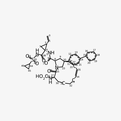 C=C[C@@H]1C[C@]1(NC(=O)C1CC2(c3ccc(-c4ccccc4)cc3)CN1C(=O)C(NC(=O)O)CCCCC=CCS2)C(=O)NS(=O)(=O)C1CC1